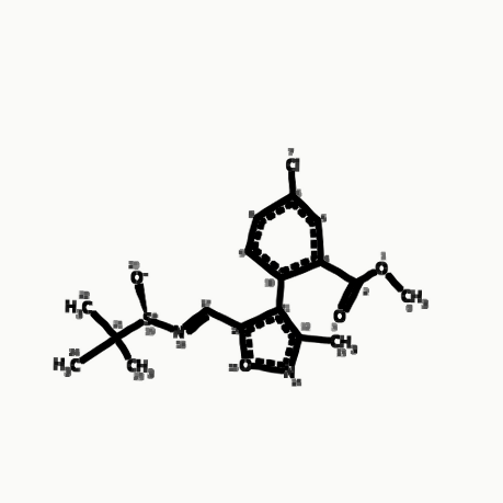 COC(=O)c1cc(Cl)ccc1-c1c(C)noc1/C=N/[S@+]([O-])C(C)(C)C